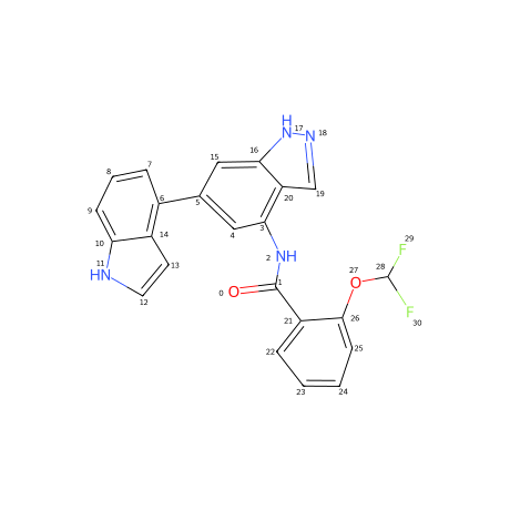 O=C(Nc1cc(-c2cccc3[nH]ccc23)cc2[nH]ncc12)c1ccccc1OC(F)F